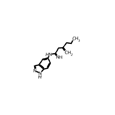 C=C(CCC)CC(=N)Nc1ccc2[nH]ncc2c1